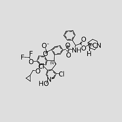 O=C([O-])c1ccc(S(=O)(=O)NC(C(=O)O[C@H]2CN3CCC2CC3)c2ccccc2)cc1[C@@H](Cc1c(Cl)c[n+](O)cc1Cl)c1ccc(OC(F)F)c(OCC2CC2)c1